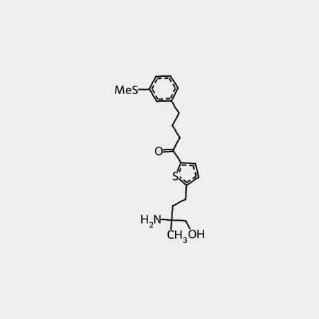 CSc1cccc(CCCC(=O)c2ccc(CCC(C)(N)CO)s2)c1